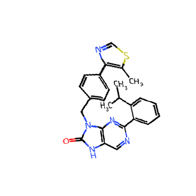 Cc1scnc1-c1ccc(Cn2c(=O)[nH]c3cnc(-c4ccccc4C(C)C)nc32)cc1